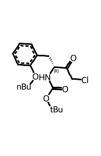 CCCCOc1ccccc1C[C@@H](NC(=O)OC(C)(C)C)C(=O)CCl